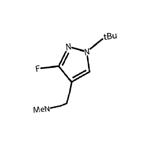 CNCc1cn(C(C)(C)C)nc1F